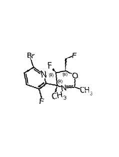 CC1=N[C@](C)(c2nc(Br)ccc2F)[C@@H](F)[C@@H](CF)O1